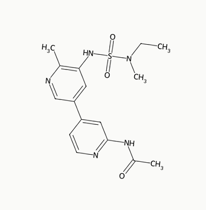 CCN(C)S(=O)(=O)Nc1cc(-c2ccnc(NC(C)=O)c2)cnc1C